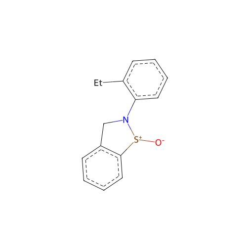 CCc1ccccc1N1Cc2ccccc2[S+]1[O-]